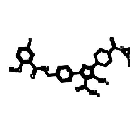 COc1ccc(F)cc1C(=O)NCc1ccc(-c2nn(C3CCN(C(=O)[C@@H]4C[C@H]4F)CC3)c(N)c2C(N)=O)cc1